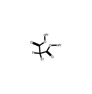 CCCOC(=O)C(F)(CC)C(=O)OCCC